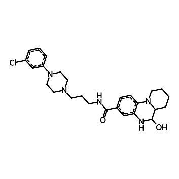 O=C(NCCCN1CCN(c2cccc(Cl)c2)CC1)c1ccc2c(c1)NC(O)C1CCCCN21